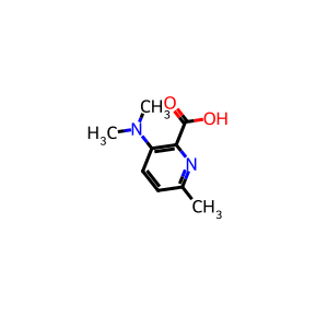 Cc1ccc(N(C)C)c(C(=O)O)n1